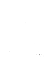 CNCCO.O=S(=O)(O)O